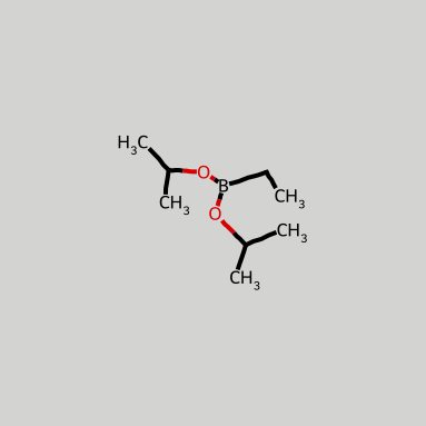 CCB(OC(C)C)OC(C)C